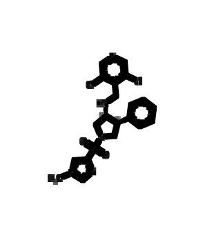 Cn1cnc(S(=O)(=O)N2C[C@H](NCc3c(Cl)cncc3Cl)[C@@H](c3ccccc3)C2)c1